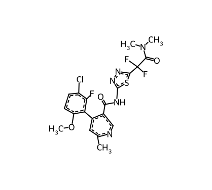 COc1ccc(Cl)c(F)c1-c1cc(C)ncc1C(=O)Nc1nnc(C(F)(F)C(=O)N(C)C)s1